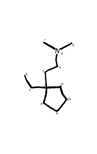 CCC1(CCN(C)C)CCCC1